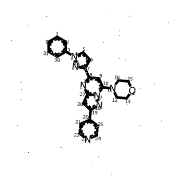 c1ccc(-n2ccc(-c3cc(N4CCOCC4)n4nc(-c5ccncc5)cc4n3)n2)cc1